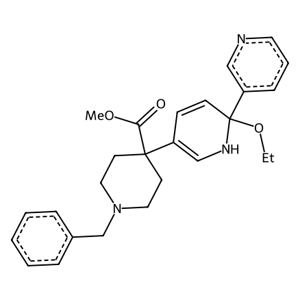 CCOC1(c2cccnc2)C=CC(C2(C(=O)OC)CCN(Cc3ccccc3)CC2)=CN1